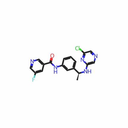 C[C@H](Nc1cncc(Cl)n1)c1cccc(NC(=O)c2cncc(F)c2)c1